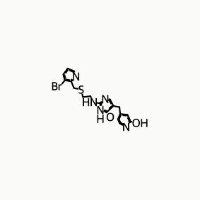 O=c1[nH]c(NCCSCc2ncccc2Br)ncc1Cc1ccnc(O)c1